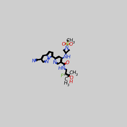 CC(C)(O)[C@H](F)CNC(=O)c1cnc(-c2ccc3cc(C#N)cnn23)cc1NC1CN(S(C)(=O)=O)C1